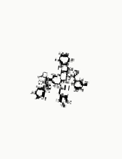 CON(C1CC(NCc2ccsc2)C2CN(C(=O)c3cccc(C)c3)C(Cc3ccccc3)C(=O)N2C1)S(=O)(=O)c1ccccc1